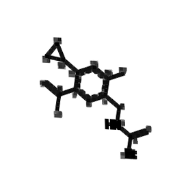 C=C(CC)NCc1cc(C(=C)C)c(C2CC2)cc1C